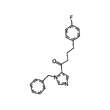 O=C(CCCc1ccc(F)cc1)c1cncn1Cc1ccccc1